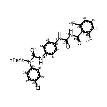 CCCCCN(C(=O)Nc1ccc(NC(=O)NC(=O)c2c(F)cccc2F)cc1)c1ccc(Cl)cc1